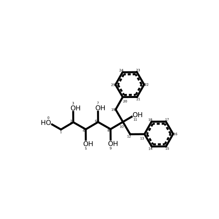 OCC(O)C(O)C(O)C(O)C(O)(Cc1ccccc1)Cc1ccccc1